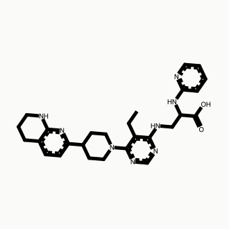 CCc1c(NCC(Nc2ccccn2)C(=O)O)ncnc1N1CCC(c2ccc3c(n2)NCCC3)CC1